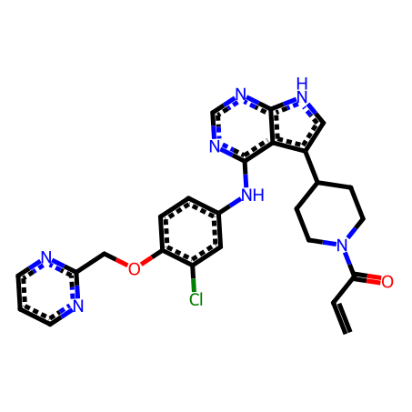 C=CC(=O)N1CCC(c2c[nH]c3ncnc(Nc4ccc(OCc5ncccn5)c(Cl)c4)c23)CC1